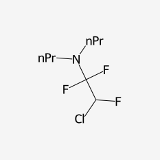 CCCN(CCC)C(F)(F)C(F)Cl